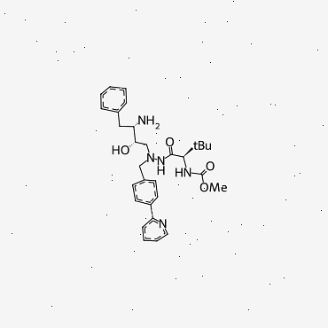 COC(=O)N[C@@H](C(=O)NN(Cc1ccc(-c2ccccn2)cc1)C[C@H](O)[C@@H](N)Cc1ccccc1)C(C)(C)C